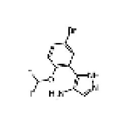 Nc1cn[nH]c1-c1cc(Br)ccc1OC(F)F